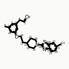 Cc1cc(CC=O)cc(OCCC2CCN(c3nc4ccc(I)cc4s3)CC2)c1